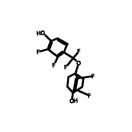 Oc1ccc(C(F)(F)OC23CCC(O)(CC2)C(F)=C3F)c(F)c1F